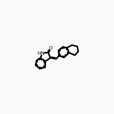 O=C1Nc2ccccc2/C1=C/c1ccc2c(c1)CCCC2